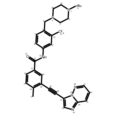 CCCCN1CCN(Cc2ccc(NC(=O)c3ccc(C)c(C#Cc4cnc5cccnn45)c3)cc2C(F)(F)F)CC1